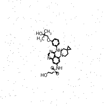 CC(C)(O)COc1cccc(Nc2ncnc3cc(NS(=O)(=O)CCO)cc(N4CCC5(CC4)CC5)c23)c1